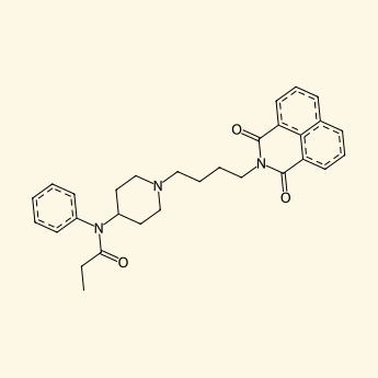 CCC(=O)N(c1ccccc1)C1CCN(CCCCN2C(=O)c3cccc4cccc(c34)C2=O)CC1